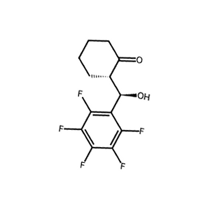 O=C1CCCC[C@H]1[C@@H](O)c1c(F)c(F)c(F)c(F)c1F